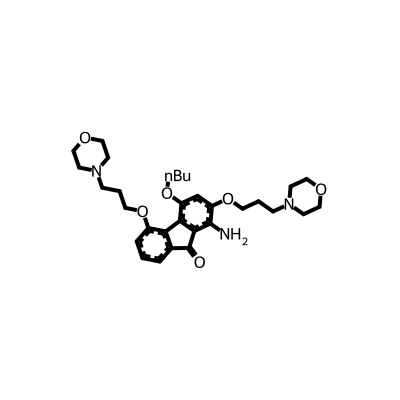 CCCCOc1cc(OCCCN2CCOCC2)c(N)c2c1-c1c(OCCCN3CCOCC3)cccc1C2=O